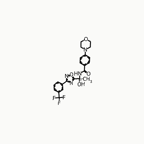 C[C@@](O)(NC(=O)c1ccc(N2CCOCC2)cc1)c1nc(-c2cccc(C(F)(F)F)c2)no1